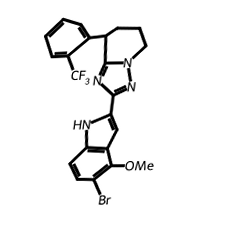 COc1c(Br)ccc2[nH]c(-c3nc4n(n3)CCCC4c3ccccc3C(F)(F)F)cc12